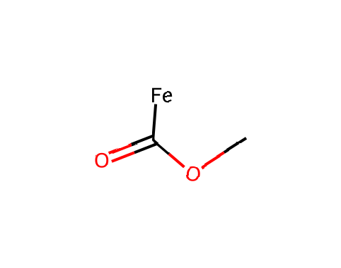 CO[C](=O)[Fe]